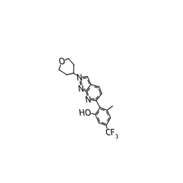 Cc1cc(C(F)(F)F)cc(O)c1-c1ccc2cn(C3CCOCC3)nc2n1